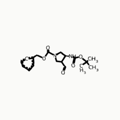 CC(C)(C)OC(=O)N[C@@H]1CN(C(=O)OCc2ccccc2)CC1C=O